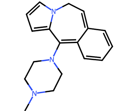 CN1CCN(C2=c3ccccc3=CCn3cccc32)CC1